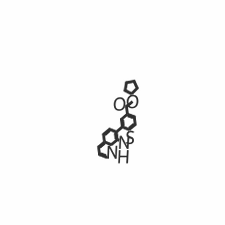 O=C(OC1CCCC1)c1ccc2c(c1)-c1ccc3cccnc3c1NS2